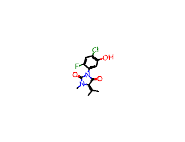 CC(C)=C1C(=O)N(c2cc(O)c(Cl)cc2F)C(=O)N1C